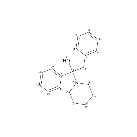 OC(Cc1ccccc1)(c1ccccc1)N1CCCCC1